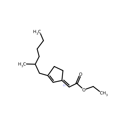 CCCCC(C)CC1=C/C(=C/C(=O)OCC)CC1